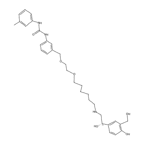 Cc1cccc(NC(=O)Nc2cccc(COCCOCCCCCCNC[C@@H](O)c3ccc(O)c(CO)c3)c2)c1